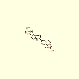 CCc1nc2ccc3cc(-c4ncc5cc(-c6cnc(C(C)C)[nH]6)ccc5n4)ccc3c2[nH]1